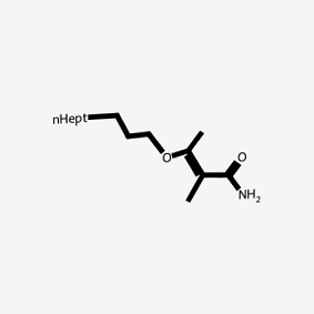 CCCCCCCCCCO/C(C)=C(\C)C(N)=O